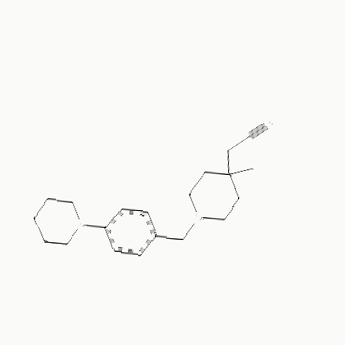 N#CCC1(I)CCN(Cc2ccc(N3CCCCC3)cc2)CC1